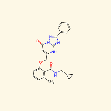 Cc1cccc(OCc2cc(=O)n3nc(-c4ccccc4)nc3[nH]2)c1C(=O)NCC1CC1